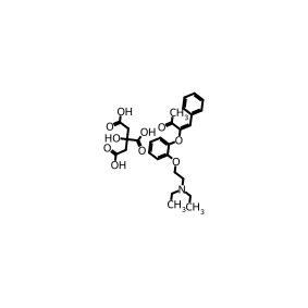 CCN(CC)CCOc1ccccc1OC(=Cc1ccccc1)C(C)=O.O=C(O)CC(O)(CC(=O)O)C(=O)O